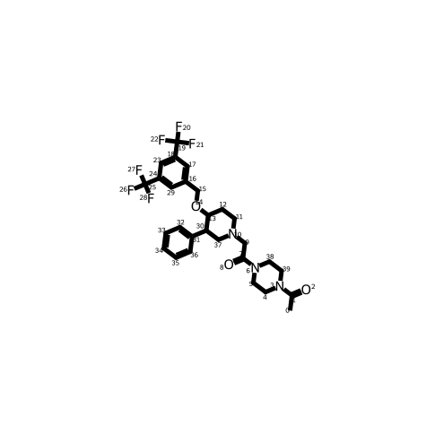 CC(=O)N1CCN(C(=O)CN2CCC(OCc3cc(C(F)(F)F)cc(C(F)(F)F)c3)C(c3ccccc3)C2)CC1